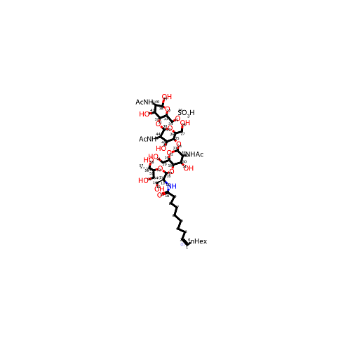 CCCCCC/C=C\CCCCCCCC(=O)N[C@@H](CO)C(OC1C(CO)OC(OC2C(CO)OC(OC3C(COS(=O)(=O)O)OC(O)C(NC(C)=O)C3O)C(NC(C)=O)C2O)C(NC(C)=O)C1O)OC(CO)[C@H](C)O